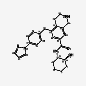 O=C(N[C@H]1CCCC[C@@H]1O)c1cc(Cc2ccc(-n3cccn3)cc2)c2c(n1)CNCC2